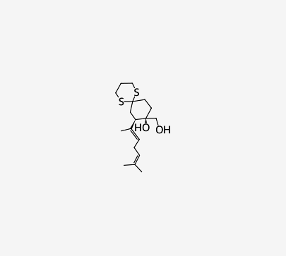 CC(C)=CC/C=C(\C)[C@H]1CC2(CC[C@]1(O)CO)SCCCS2